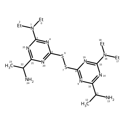 CCN(CC)c1nc(SSc2nc(C(C)N)nc(N(CC)CC)n2)nc(C(C)N)n1